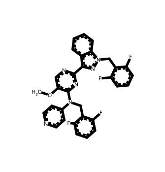 COc1cnc(-c2nn(Cc3c(F)cccc3F)c3ccccc23)nc1N(Cc1c(F)cccc1F)c1ccncc1